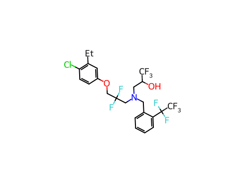 CCc1cc(OCC(F)(F)CN(Cc2ccccc2C(F)(F)C(F)(F)F)CC(O)C(F)(F)F)ccc1Cl